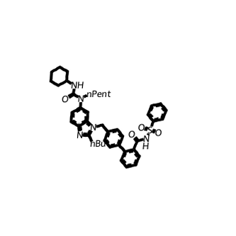 CCCCCN(C(=O)NC1CCCCC1)c1ccc2nc(CCCC)n(Cc3ccc(-c4ccccc4C(=O)NS(=O)(=O)c4ccccc4)cc3)c2c1